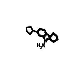 Nn1c2ccccc2c2ccc(C3CCCC3)cc21